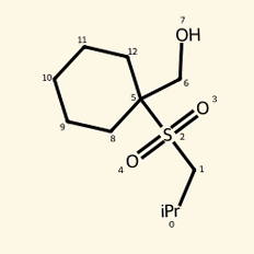 CC(C)CS(=O)(=O)C1(CO)CCCCC1